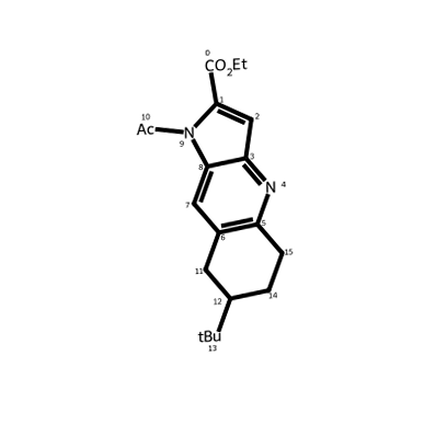 CCOC(=O)c1cc2nc3c(cc2n1C(C)=O)CC(C(C)(C)C)CC3